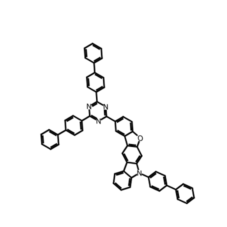 c1ccc(-c2ccc(-c3nc(-c4ccc(-c5ccccc5)cc4)nc(-c4ccc5oc6cc7c(cc6c5c4)c4ccccc4n7-c4ccc(-c5ccccc5)cc4)n3)cc2)cc1